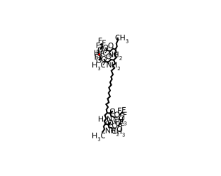 CCCCC(CCCC(CCCCCCCCCCCCCCCCCCC(CCCC(CCCC)C(=O)[C@@H](N)[C@@H](C)OC(=O)C(F)(F)F)C(=O)[C@@H](N)[C@@H](C)OC(=O)C(F)(F)F)C(=O)[C@@H](N)[C@@H](C)OC(=O)C(F)(F)F)C(=O)[C@@H](N)[C@@H](C)OC(=O)C(F)(F)F